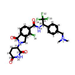 CN(C)Cc1ccc([C@@H](NC(=O)c2ccc3c(c2F)CN(C2CCC(=O)NC2=O)C3=O)C(F)(F)F)cc1